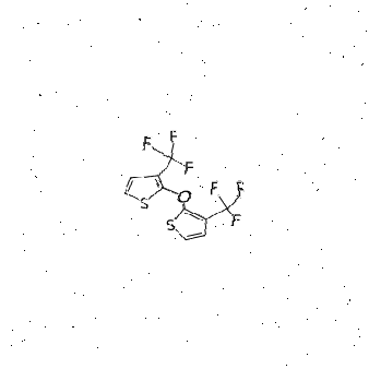 FC(F)(F)c1ccsc1Oc1sccc1C(F)(F)F